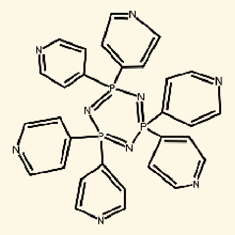 c1cc(P2(c3ccncc3)=NP(c3ccncc3)(c3ccncc3)=NP(c3ccncc3)(c3ccncc3)=N2)ccn1